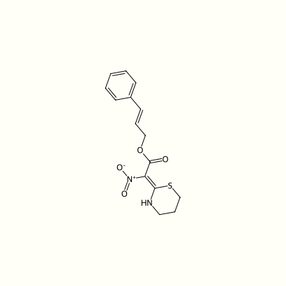 O=C(OCC=Cc1ccccc1)C(=C1NCCCS1)[N+](=O)[O-]